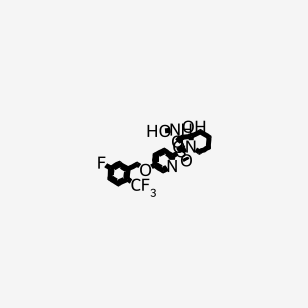 O=C(NO)C1(O)CCCCN1S(=O)(=O)c1ccc(OCc2cc(F)ccc2C(F)(F)F)cn1